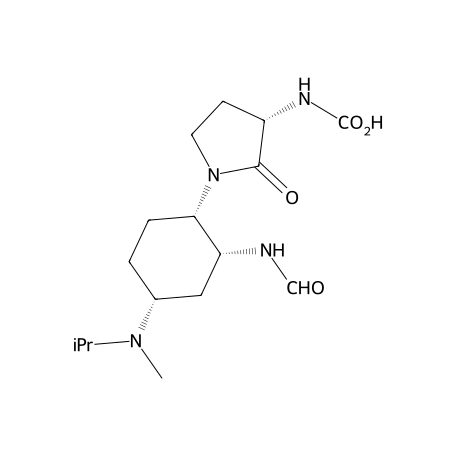 CC(C)N(C)[C@@H]1CC[C@H](N2CC[C@H](NC(=O)O)C2=O)[C@H](NC=O)C1